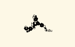 CCCCOCCOc1ccc(-c2ccc3c(c2)C=C(C(=O)Nc2ccc(CN(C)C4CCOCC4)cc2)CCN3c2ccc3c(c2)OOC3)cc1